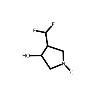 OC1CN(Cl)CC1C(F)F